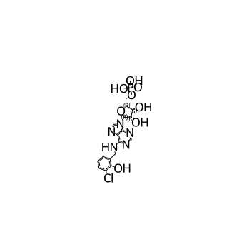 O=P(O)(O)OC[C@H]1O[C@@H](n2cnc3c(NCc4cccc(Cl)c4O)ncnc32)[C@H](O)[C@@H]1O